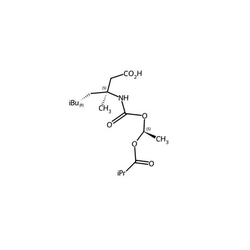 CC[C@@H](C)C[C@@](C)(CC(=O)O)NC(=O)O[C@@H](C)OC(=O)C(C)C